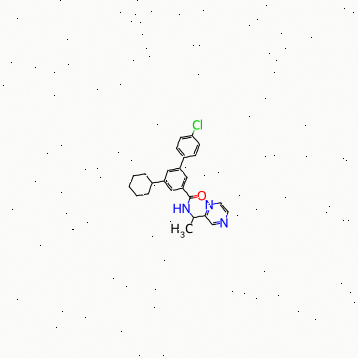 CC(NC(=O)c1cc(-c2ccc(Cl)cc2)cc(C2CCCCC2)c1)c1cnccn1